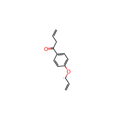 C=C[CH]Oc1ccc(C(=O)CC=C)cc1